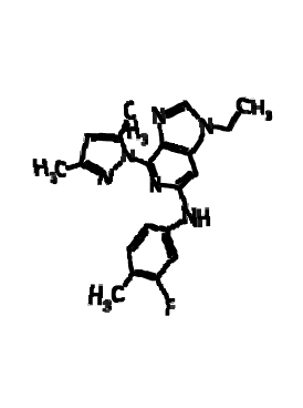 CCn1cnc2c(-n3nc(C)cc3C)nc(Nc3ccc(C)c(F)c3)cc21